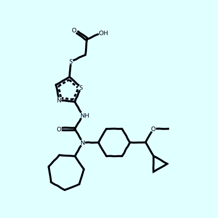 COC(C1CC1)C1CCC(N(C(=O)Nc2ncc(SCC(=O)O)s2)C2CCCCCC2)CC1